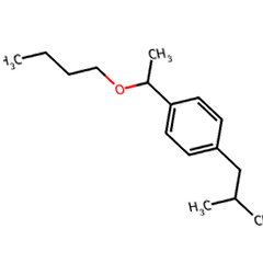 CCCCOC(C)c1ccc(CC(C)C)cc1